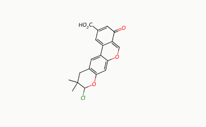 CC1(C)Cc2cc3c4cc(C(=O)O)cc(=O)c-4coc3cc2OC1Cl